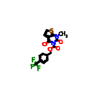 Cn1c(=O)n(C(=O)OCc2ccc(C(F)(F)F)cc2)c(=O)c2ccsc21